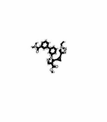 CCn1cc(C2CC2c2c(C(=O)OC)cnn2-c2cccc(-c3cccc(C(=O)N(C)C)c3)c2)nn1